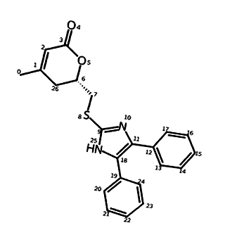 CC1=CC(=O)O[C@H](CSc2nc(-c3ccccc3)c(-c3ccccc3)[nH]2)C1